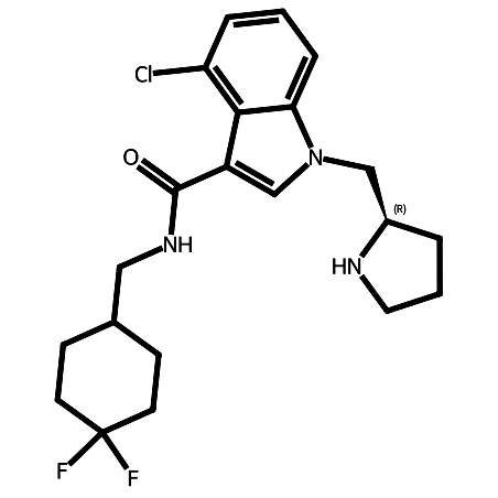 O=C(NCC1CCC(F)(F)CC1)c1cn(C[C@H]2CCCN2)c2cccc(Cl)c12